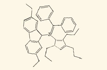 CCCC1=CC(CCC)[C]([Zr](=[C](c2ccccc2)c2ccccc2)[CH]2c3cc(CC)ccc3-c3ccc(CC)cc32)=C1CCC